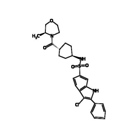 C[C@H]1COCCN1C(=O)[C@H]1CC[C@H](NS(=O)(=O)c2ccc3c(Cl)c(-c4ccccc4)[nH]c3c2)CC1